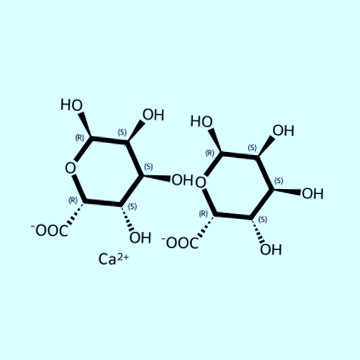 O=C([O-])[C@@H]1O[C@@H](O)[C@@H](O)[C@@H](O)[C@@H]1O.O=C([O-])[C@@H]1O[C@@H](O)[C@@H](O)[C@@H](O)[C@@H]1O.[Ca+2]